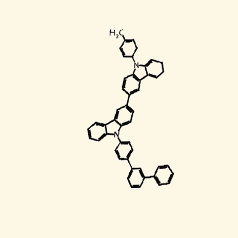 CC1=CCC(n2c3c(c4cc(-c5ccc6c(c5)c5ccccc5n6-c5ccc(-c6cccc(-c7ccccc7)c6)cc5)ccc42)=CCCC=3)C=C1